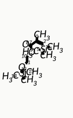 CC(=C[Si](C)(C)C)C(=O)OCCO[Si](C)(C)C